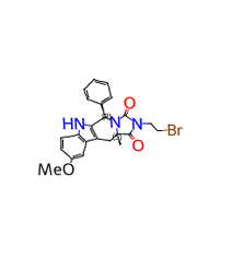 COc1ccc2[nH]c3c(c2c1)C[C@@]1(C)C(=O)N(CCBr)C(=O)N1[C@@H]3c1ccccc1